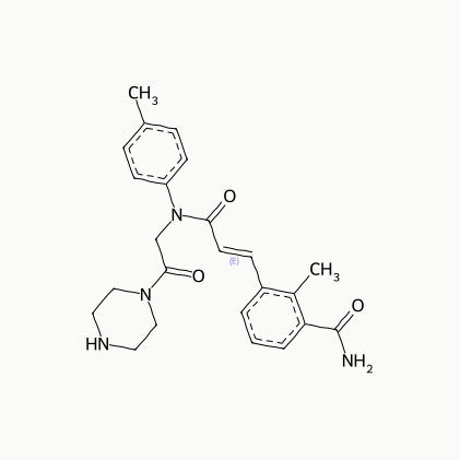 Cc1ccc(N(CC(=O)N2CCNCC2)C(=O)/C=C/c2cccc(C(N)=O)c2C)cc1